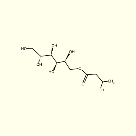 CC(O)CC(=O)OC[C@H](O)[C@@H](O)[C@H](O)[C@H](O)CO